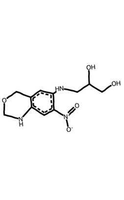 O=[N+]([O-])c1cc2c(cc1NCC(O)CO)COCN2